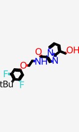 CC(C)(C)c1c(F)cc(OCCNC(=O)c2cnc3c(CO)cccn23)cc1F